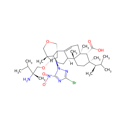 CC(C)[C@@H](C)[C@@]1(C)CC[C@]2(C)[C@H]3CC[C@@H]4[C@@]5(COC[C@@]4(C)[C@@H](OC[C@](C)(N)C(C)C)[C@H](n4nc(Br)nc4[N+](=O)[O-])C5)C3=CC[C@@]2(C)[C@@H]1C(=O)O